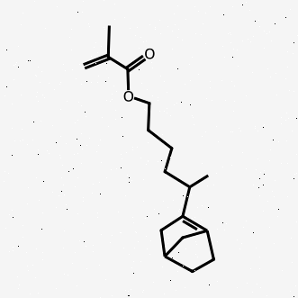 C=C(C)C(=O)OCCCCC(C)C1=C2CCC(C2)C1